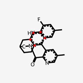 Cc1cnc(NC2CC3CCC2N(C(=O)c2ncc(C)cc2-c2ncccn2)C3)c(F)c1